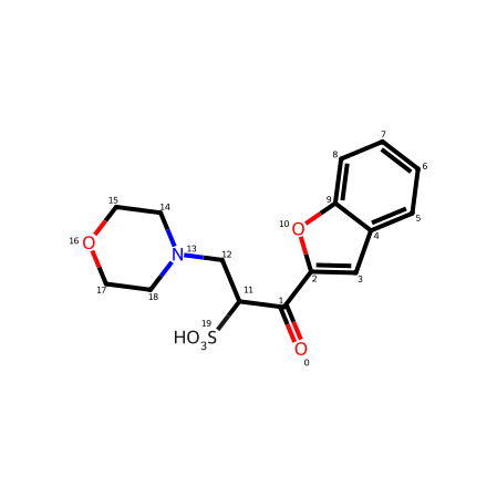 O=C(c1cc2ccccc2o1)C(CN1CCOCC1)S(=O)(=O)O